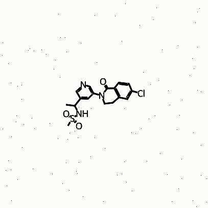 CC(NS(C)(=O)=O)c1cncc(N2CCc3cc(Cl)ccc3C2=O)c1